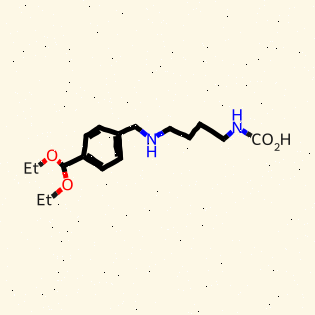 CCOC(OCC)c1ccc(CNCCCCNC(=O)O)cc1